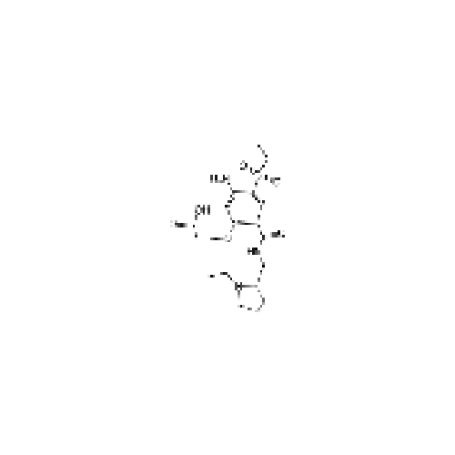 CC(=O)O.CCN1CCCC1CNC(=O)c1cc(S(=O)(=O)CC)c(N)cc1OC